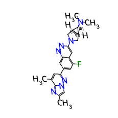 Cc1cn2nc(-c3cc(F)c4cc(N5C[C@@H]6[C@H](C5)[C@@H]6N(C)C)nnc4c3)cc(C)c2n1